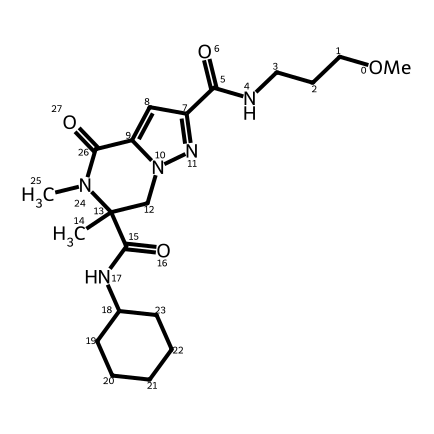 COCCCNC(=O)c1cc2n(n1)CC(C)(C(=O)NC1CCCCC1)N(C)C2=O